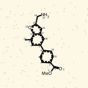 COC(=O)c1ccc(-c2cc(C)c3oc(CN)cc3c2)cc1